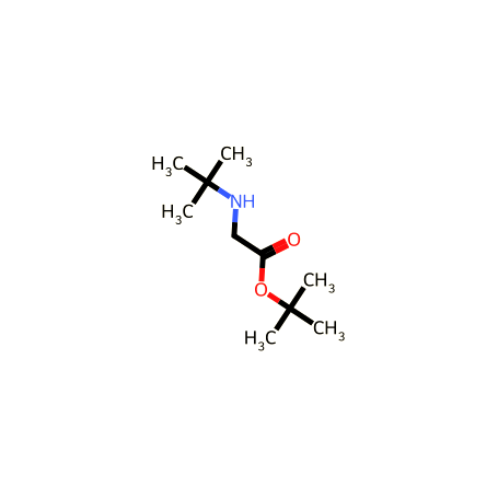 CC(C)(C)NCC(=O)OC(C)(C)C